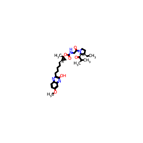 CC[C@@H]1CCN(C(=O)CNC(=O)OC2(C)C[C@H]2CCCCCc2nc3ccc(OC)cc3nc2O)[C@@H]1C(=O)C(C)C